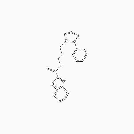 O=C(NCCCn1ccnc1-c1ccccc1)c1cc2ccccc2[nH]1